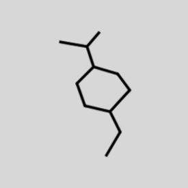 CCC1CCC(C(C)C)CC1